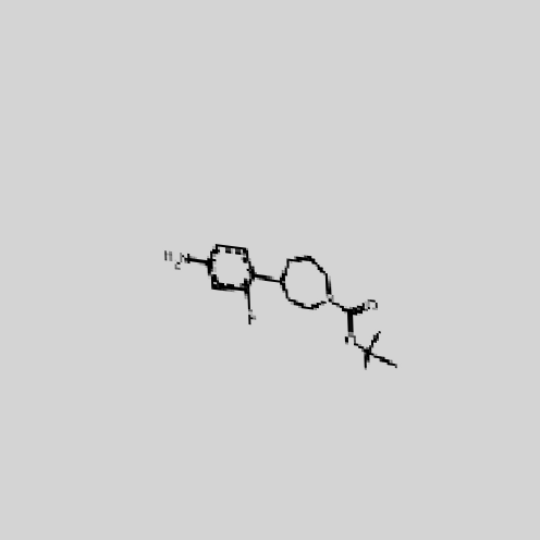 CC(C)(C)OC(=O)N1CCCC(c2ccc(N)cc2F)CC1